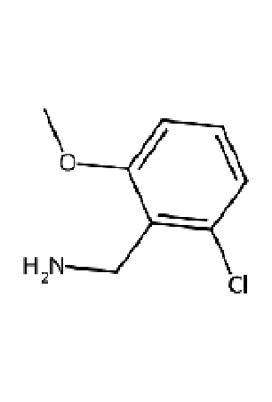 COc1cccc(Cl)c1CN